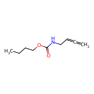 C=C=CCNC(=O)OCCCC